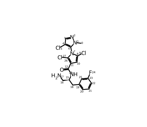 Cn1ncc(Cl)c1-n1c(Cl)cc(C(=O)N[C@H](CN)Cc2cccc(F)c2)c1Cl